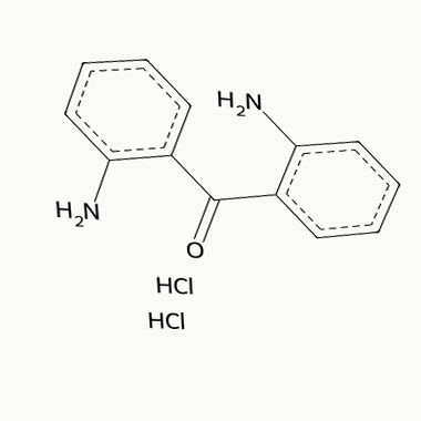 Cl.Cl.Nc1ccccc1C(=O)c1ccccc1N